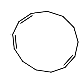 [C]1=CCCCC=CCCCCC=C1